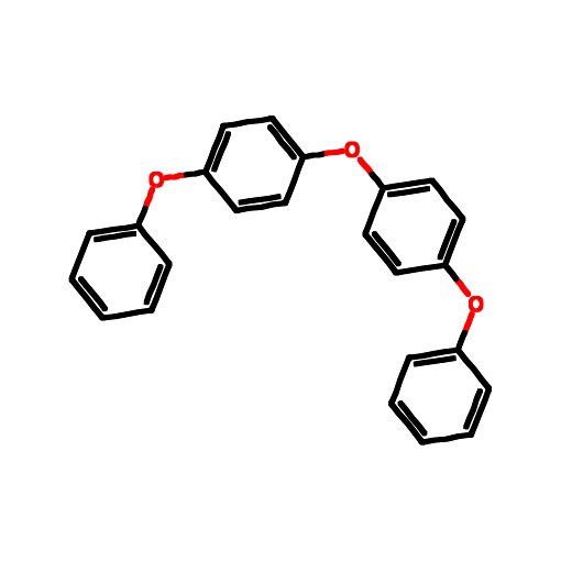 c1ccc(Oc2ccc(Oc3ccc(Oc4ccccc4)cc3)cc2)cc1